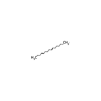 [CH2]CCCCCC=CCCCC=CCCC